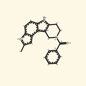 Cc1cc2c(ccc3[nH]c4c(c32)CN(C(=O)c2ccccc2)CC4)o1